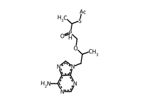 CC(=O)SC(C)[PH](=O)COC(C)Cn1cnc2c(N)ncnc21